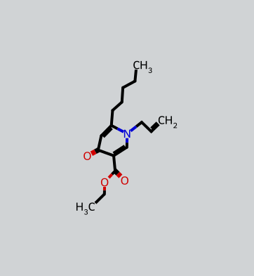 C=CCn1cc(C(=O)OCC)c(=O)cc1CCCCC